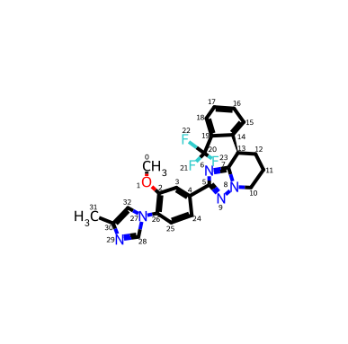 COc1cc(-c2nc3n(n2)CCC[C@@H]3c2ccccc2C(F)(F)F)ccc1-n1cnc(C)c1